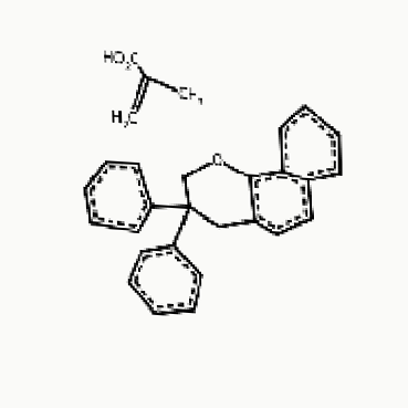 C=C(C)C(=O)O.c1ccc(C2(c3ccccc3)COc3c(ccc4ccccc34)C2)cc1